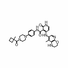 Cc1c(Nc2cc[nH]c(=O)c2C(=O)Nc2ccc(N3CCN(C(=O)C4(C)CCC4)CC3)cc2)cnc2c1NCCO2